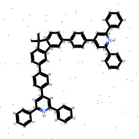 CC1(C)c2ccc(-c3ccc(-c4cc(-c5ccccc5)nc(-c5ccccc5)c4)cc3)cc2-c2cc(-c3ccc(-c4cc(-c5ccccc5)nc(-c5ccccc5)c4)cc3)ccc21